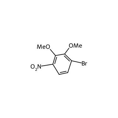 COc1c(Br)ccc([N+](=O)[O-])c1OC